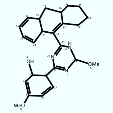 COC1=CC(O)C(C2=NC(OC)NC(C3=C4CCCCC4CC4C=CC=CC34)=N2)C=C1